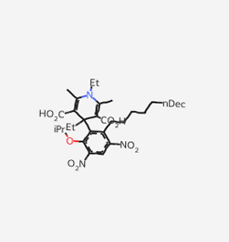 CCCCCCCCCCCCCCCc1c([N+](=O)[O-])cc([N+](=O)[O-])c(OC(C)C)c1C1(CC)C(C(=O)O)=C(C)N(CC)C(C)=C1C(=O)O